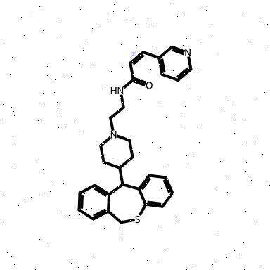 O=C(/C=C\c1cccnc1)NCCN1CCC(C2c3ccccc3CSc3ccccc32)CC1